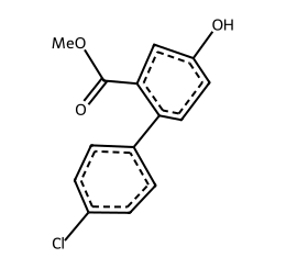 COC(=O)c1cc(O)ccc1-c1ccc(Cl)cc1